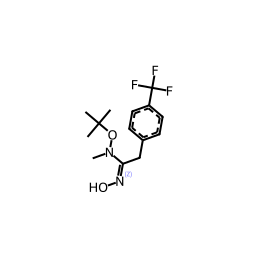 CN(OC(C)(C)C)/C(Cc1ccc(C(F)(F)F)cc1)=N\O